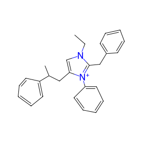 CCn1cc(CC(C)c2ccccc2)[n+](-c2ccccc2)c1Cc1ccccc1